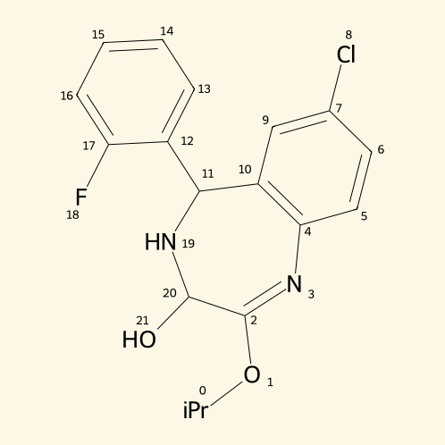 CC(C)OC1=Nc2ccc(Cl)cc2C(c2ccccc2F)NC1O